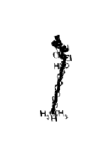 C[SiH](C)CCCOCCOCCOCCOCCOCCOCCOCCNC(=O)CCc1cc(Cl)c(Oc2ccncc2C(=O)N2CCN(C3CC3)c3ccccc32)cc1Cl